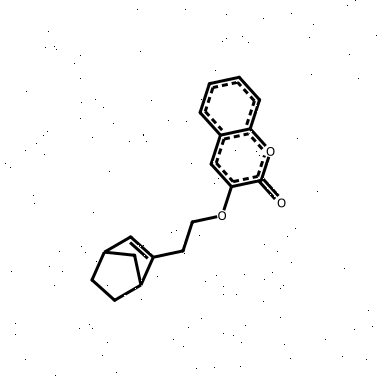 O=c1oc2ccccc2cc1OCCC1=CC2CCC1C2